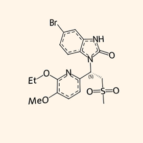 CCOc1nc([C@@H](CS(C)(=O)=O)n2c(=O)[nH]c3cc(Br)ccc32)ccc1OC